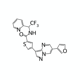 O=C(NC(c1ccccn1)C(F)(F)F)c1cc(-c2cnn3cc(-c4ccoc4)cnc23)cs1